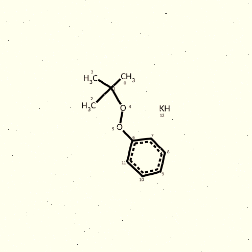 CC(C)(C)OOc1ccccc1.[KH]